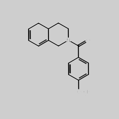 O=C(O)c1ccc(C(=O)N2CCC3CC=CC=C3C2)cc1